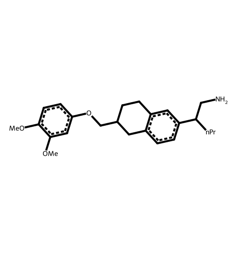 CCCC(CN)c1ccc2c(c1)CCC(COc1ccc(OC)c(OC)c1)C2